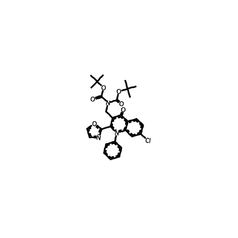 CC(C)(C)OC(=O)N(Cc1c(-c2ncco2)n(-c2ccccc2)c2cc(Cl)ccc2c1=O)C(=O)OC(C)(C)C